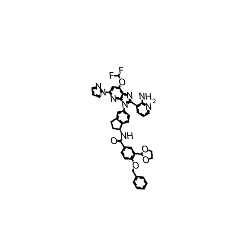 Nc1ncccc1-c1nc2c(OC(F)F)cc(-n3cccn3)nc2n1-c1ccc2c(c1)CC[C@@H]2NC(=O)c1ccc(OCc2ccccc2)c(C2OCCO2)c1